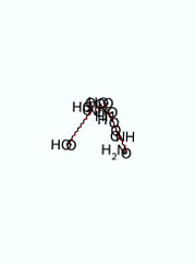 N[C@H]([C]=O)CCCCNC(=O)COCCOCCNC(=O)CC[C@H](NC(=O)CC[C@H](NC(=O)CCCCCCCCCCCCCCC(=O)O)C(=O)O)C(=O)O